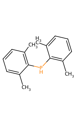 Cc1cccc(C)c1Pc1c(C)cccc1C